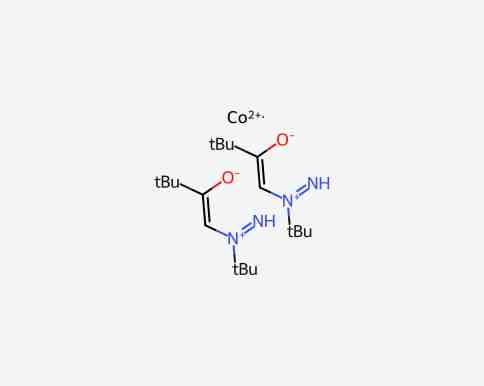 CC(C)(C)C([O-])=C[N+](=N)C(C)(C)C.CC(C)(C)C([O-])=C[N+](=N)C(C)(C)C.[Co+2]